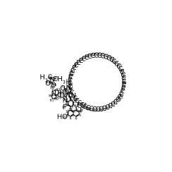 CCc1c(F)ccc2cc(O)cc(-c3ccc4c(N5CCCCCCCCCCCCCCCCCCCCCCCCCCCCCCCCCCCCCCCCCCCCCCCCCC6(CNC(=O)N6)C5)nc(OC[C@]56CCCN5[C@H](COC(=O)N(C)C)CC6)nc4c3F)c12